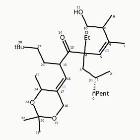 CCCCC[C@@H](C)CC(/C=C(/C)C(C)CO)(CC)C(=O)C(/C=C1/COC(C)(C)OC1C)CCC(C)(C)C